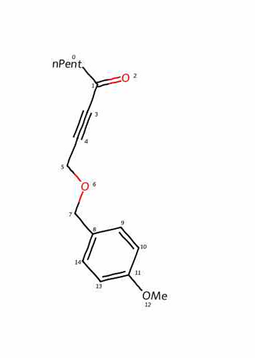 CCCCCC(=O)C#CCOCc1ccc(OC)cc1